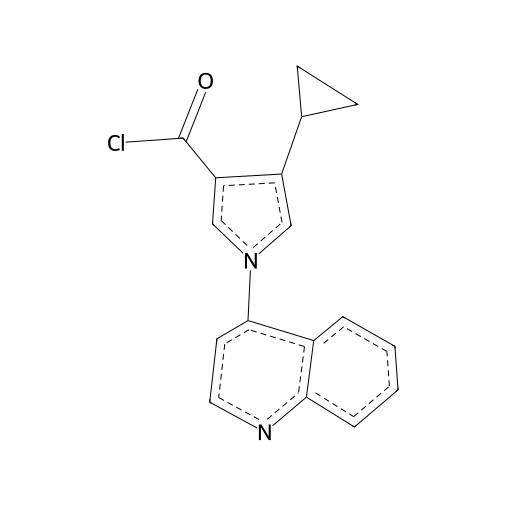 O=C(Cl)c1cn(-c2ccnc3ccccc23)cc1C1CC1